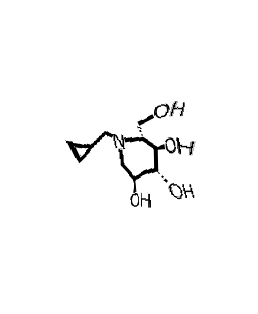 OC[C@@H]1[C@@H](O)[C@H](O)[C@@H](O)CN1CC1CC1